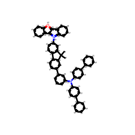 CC1(C)c2cc(-c3cccc(N(c4ccc(-c5ccccc5)cc4)c4ccc(-c5ccccc5)cc4)c3)ccc2-c2ccc(-n3c4ccccc4c4oc5ccccc5c43)cc21